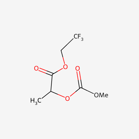 COC(=O)OC(C)C(=O)OCC(F)(F)F